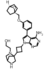 Nc1ncnc2c1c(-c1cccc(OC[C@]34CC[C@@H](CC3)O4)c1)cn2C1CC(C23CNC(CN2CCO)C3)C1